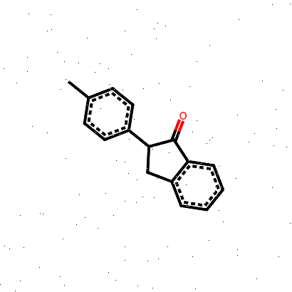 Cc1ccc(C2Cc3ccccc3C2=O)cc1